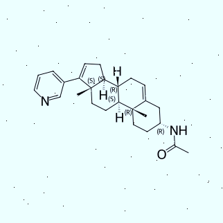 CC(=O)N[C@@H]1CC[C@@]2(C)C(=CC[C@@H]3[C@@H]2CC[C@]2(C)C(c4cccnc4)=CC[C@@H]32)C1